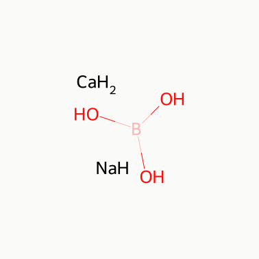 OB(O)O.[CaH2].[NaH]